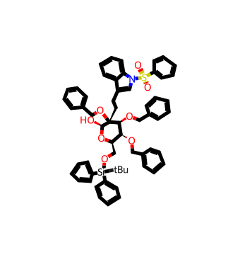 CC(C)(C)[Si](OC[C@H]1O[C@@H](O)[C@](CCc2cn(S(=O)(=O)c3ccccc3)c3ccccc23)(OCc2ccccc2)[C@@H](OCc2ccccc2)[C@@H]1OCc1ccccc1)(c1ccccc1)c1ccccc1